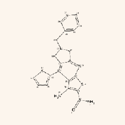 NC(=O)c1sc2nc3c(c(-c4cccs4)c2c1N)CN(Cc1cccnc1)C3